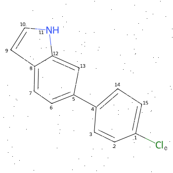 Clc1ccc(-c2ccc3cc[nH]c3c2)cc1